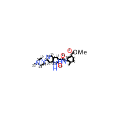 COC(=O)c1ccc(C)c(NC(=O)c2cc3cnc(N4CCN(C)CC4)cc3[nH]c2=O)c1